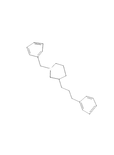 c1ccc(CCCC2CCCN(Cc3ccccc3)C2)cc1